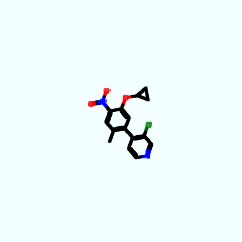 Cc1cc([N+](=O)[O-])c(OC2CC2)cc1-c1ccncc1Cl